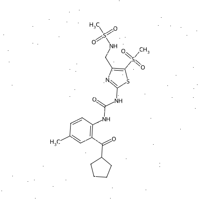 Cc1ccc(NC(=O)Nc2nc(CNS(C)(=O)=O)c(S(C)(=O)=O)s2)c(C(=O)C2CCCC2)c1